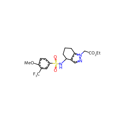 CCOC(=O)Cn1ncc2c1CCCC2NS(=O)(=O)c1ccc(OC)c(C(F)(F)F)c1